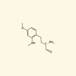 CNc1cc(OC)ccc1CC[C@H](N)C=O